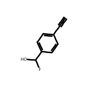 C#Cc1ccc(C(O)F)cc1